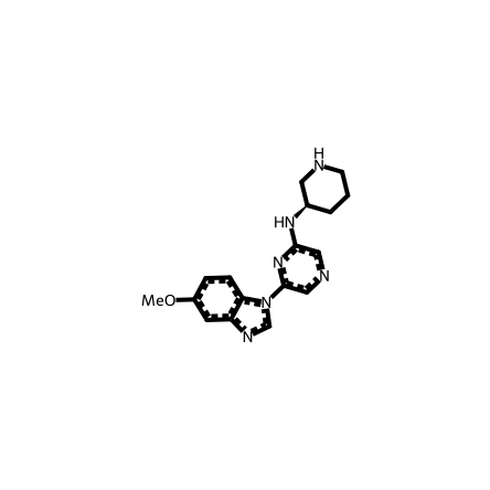 COc1ccc2c(c1)ncn2-c1cncc(N[C@@H]2CCCNC2)n1